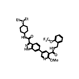 CCN(CC)C1CCC(NC(=O)c2n[nH]c3cc(-c4cnc(OC)c(C(=O)NCc5ccccc5OC(F)(F)F)c4)ccc23)CC1